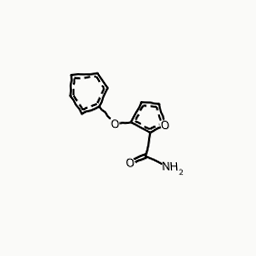 NC(=O)c1occc1Oc1ccccc1